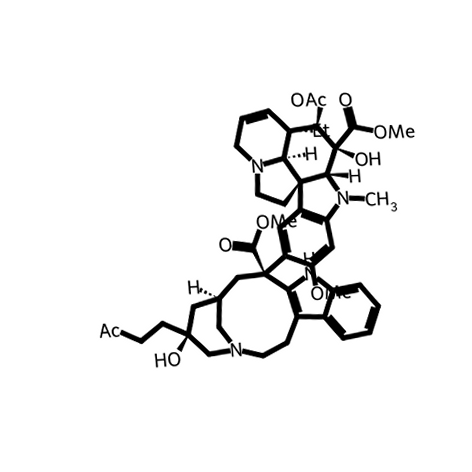 CC[C@]12C=CCN3CC[C@@]4(c5cc([C@@]6(C(=O)OC)C[C@H]7CN(CCc8c6[nH]c6ccccc86)C[C@](O)(CCC(C)=O)C7)c(OC)cc5N(C)[C@H]4[C@@](O)(C(=O)OC)[C@@H]1OC(C)=O)[C@@H]32